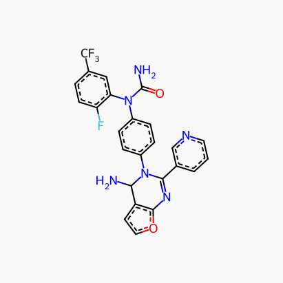 NC(=O)N(c1ccc(N2C(c3cccnc3)=Nc3occc3C2N)cc1)c1cc(C(F)(F)F)ccc1F